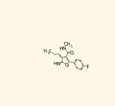 CC/C=C1\C(=N)OC(c2ccc(F)cc2)=C1C(=O)NC